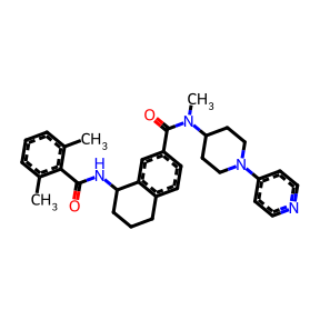 Cc1cccc(C)c1C(=O)NC1CCCc2ccc(C(=O)N(C)C3CCN(c4ccncc4)CC3)cc21